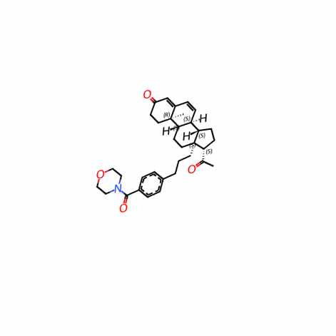 CC(=O)[C@H]1CC[C@H]2[C@@H]3C=CC4=CC(=O)CC[C@]4(C)[C@H]3CC[C@]12CCCc1ccc(C(=O)N2CCOCC2)cc1